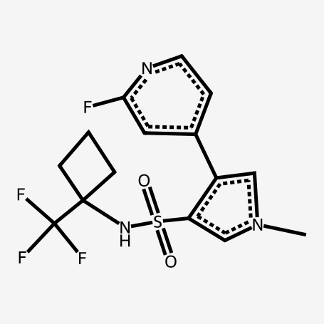 Cn1cc(-c2ccnc(F)c2)c(S(=O)(=O)NC2(C(F)(F)F)CCC2)c1